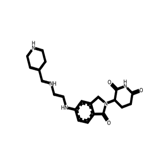 O=C1CCC(N2Cc3cc(NCCNCC4CCNCC4)ccc3C2=O)C(=O)N1